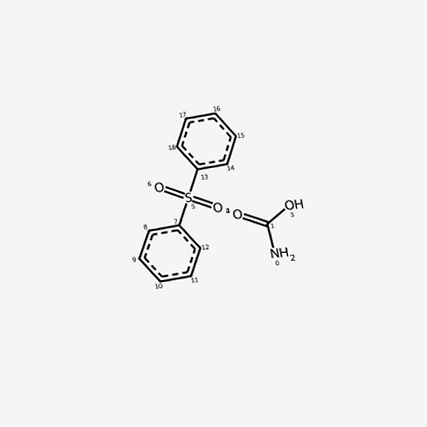 NC(=O)O.O=S(=O)(c1ccccc1)c1ccccc1